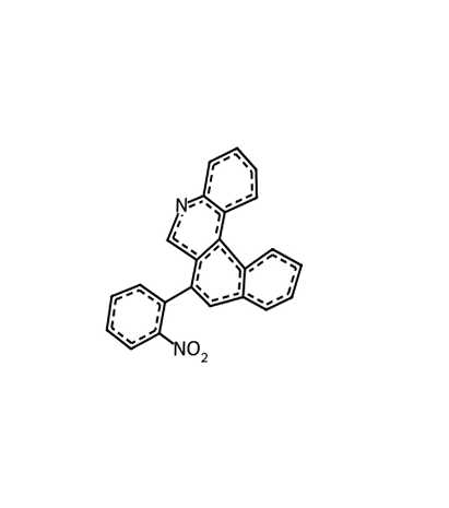 O=[N+]([O-])c1ccccc1-c1cc2ccccc2c2c1cnc1ccccc12